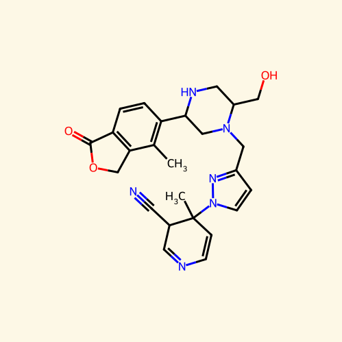 Cc1c(C2CN(Cc3ccn(C4(C)C=CN=CC4C#N)n3)C(CO)CN2)ccc2c1COC2=O